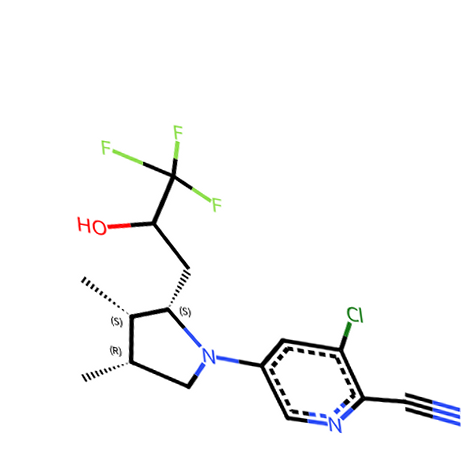 C[C@H]1[C@@H](C)CN(c2cnc(C#N)c(Cl)c2)[C@H]1CC(O)C(F)(F)F